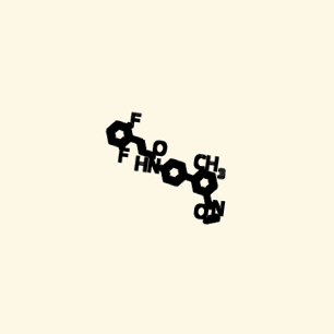 Cc1ccc(-c2ncco2)cc1-c1ccc(NC(=O)C=Cc2c(F)cccc2F)cc1